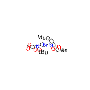 COC(=O)c1cc2ccc(OC)cc2n(CCN2CCC(N(Cc3ccc4c(c3)OCCO4)C(=O)OC(C)(C)C)CC2)c1=O